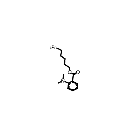 CC(C)CCCCCOC(=O)c1ccccc1N(C)C